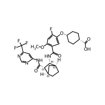 COc1cc(F)c(O[C@H]2CC[C@@H](C(=O)O)CC2)cc1C(=O)N[C@@H]1[C@H]2CC[C@H](C2)[C@@H]1C(=O)Nc1cc(C(F)(F)F)ncn1